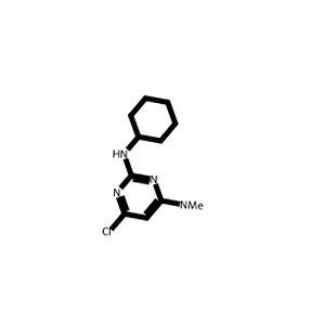 CNc1cc(Cl)nc(NC2CCCCC2)n1